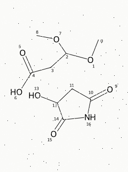 COC(CC(=O)O)OC.O=C1CC(O)C(=O)N1